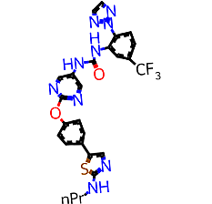 CCCNc1ncc(-c2ccc(Oc3ncc(NC(=O)Nc4cc(C(F)(F)F)ccc4-n4nccn4)cn3)cc2)s1